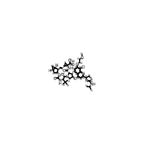 C=C[C@@H]1C[C@]1(NC(=O)[C@@H]1C[C@@H](Oc2cc(C3CSC(NC(C)C)=N3)nc3c(Cl)c(OCCOC)ccc23)CN1C(=O)[C@@H](NC(=O)O[C@@H]1C[C@@H]2C[C@@H]2C1)C(C)(C)C)C(=O)O